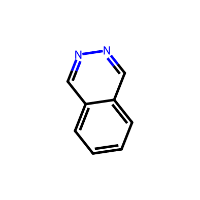 c1ccc2cnncc2c1